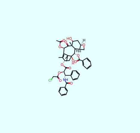 CC(=O)O[C@H]1C(=O)[C@@]2(C)[C@@H]([C@@H]3CO[C@@H]3C[C@@H]2O)[C@H](OC(=O)c2ccccc2)[C@]2(O)C[C@H](OC(=O)[C@H](OC(=O)CCl)[C@@H](NC(=O)c3ccccc3)c3ccccc3)C(C)=C1C2(C)C